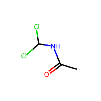 [CH2]C(=O)NC(Cl)Cl